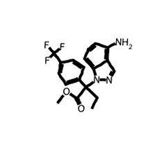 CCC(C(=O)OC)(c1ccc(C(F)(F)F)cc1)n1ncc2c(N)cccc21